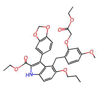 CCCOc1ccc2[nH]c(C(=O)OCC)c(-c3ccc4c(c3)OCO4)c2c1Cc1ccc(OC)cc1OCC(=O)OCC